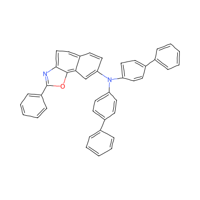 c1ccc(-c2ccc(N(c3ccc(-c4ccccc4)cc3)c3ccc4ccc5nc(-c6ccccc6)oc5c4c3)cc2)cc1